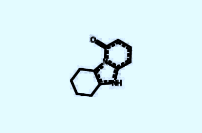 O=c1cccc2[nH]c3c(n12)CCCC3